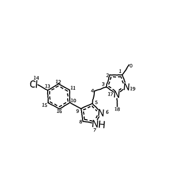 Cc1cc(Cc2n[nH]cc2-c2ccc(Cl)cc2)n(C)n1